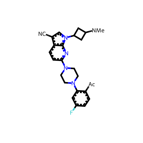 CNC1CC(n2cc(C#N)c3ccc(N4CCN(c5cc(F)ccc5C(C)=O)CC4)nc32)C1